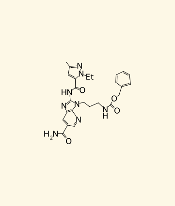 CCn1nc(C)cc1C(=O)Nc1nc2cc(C(N)=O)cnc2n1CCCNC(=O)OCc1ccccc1